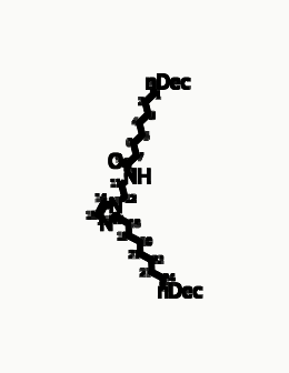 CCCCCCCCCCCCCCCCCC(=O)NCCn1ccnc1CCCCCCCCCCCCCCCCC